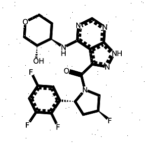 O=C(c1n[nH]c2ncnc(N[C@@H]3CCOC[C@H]3O)c12)N1C[C@@H](F)C[C@@H]1c1cc(F)cc(F)c1F